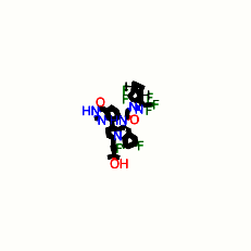 CC(C)(O)C#Cc1ccc(-c2cccc3c(=O)[nH]cnc23)c([C@H](Cc2cc(F)cc(F)c2)NC(=O)Cn2nc(C(F)(F)F)c3c2C(F)(F)[C@@H]2CC[C@H]32)n1